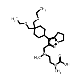 CCOCC1(COCC)CCC(c2c(CN(C)CCN(C)C(=O)O)nn3c2CCC3)CC1